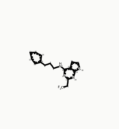 FC(F)(F)Cc1nc(NCCCc2ccccc2)c2ccsc2n1